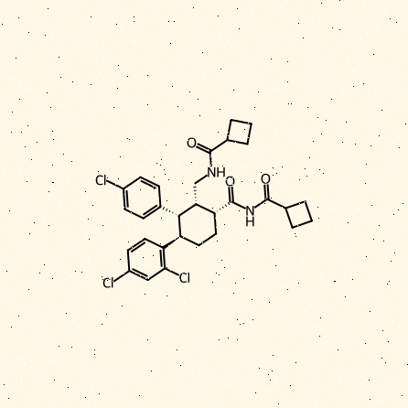 O=C(NC[C@H]1[C@@H](c2ccc(Cl)cc2)[C@H](c2ccc(Cl)cc2Cl)CC[C@H]1C(=O)NC(=O)C1CCC1)C1CCC1